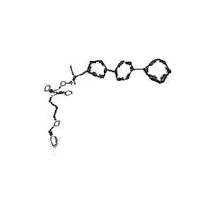 CC(=NOS(=O)(=O)CCCOC=O)c1ccc(-c2ccc(-c3ccccc3)cc2)cc1